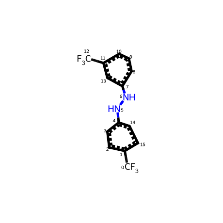 FC(F)(F)c1ccc(NNc2cccc(C(F)(F)F)c2)cc1